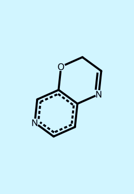 C1=Nc2ccncc2OC1